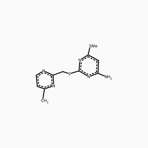 CSc1cc(N)nc(SCc2nccc(C)n2)n1